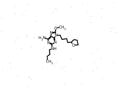 CCCCNc1nc(N)c2nc(OC)n(CCCCC3CCCO3)c2n1